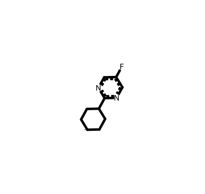 Fc1cnc(C2CC[CH]CC2)nc1